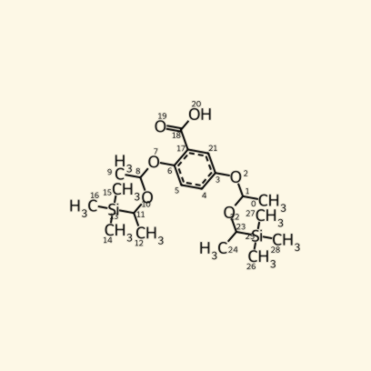 CC(Oc1ccc(OC(C)OC(C)[Si](C)(C)C)c(C(=O)O)c1)OC(C)[Si](C)(C)C